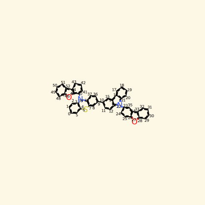 c1ccc2c(c1)Sc1cc(-c3ccc4c(c3)c3ccccc3n4-c3ccc4oc5ccccc5c4c3)ccc1N2c1cccc2c1oc1ccccc12